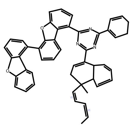 C/C=C\C=C/C1(C)CC=C(c2nc(C3=CCCC=C3)nc(-c3cccc4oc5c(-c6cccc7oc8ccccc8c67)cccc5c34)n2)C2C=CC=CC21